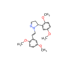 COc1ccc(OC)c(C=CN2N=CCC2c2cc(OC)ccc2OC)c1